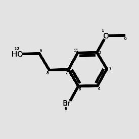 COc1ccc(Br)c(CCO)c1